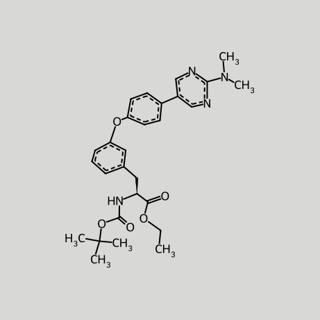 CCOC(=O)[C@H](Cc1cccc(Oc2ccc(-c3cnc(N(C)C)nc3)cc2)c1)NC(=O)OC(C)(C)C